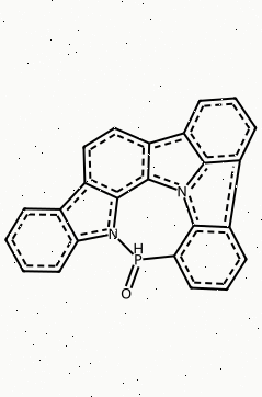 O=[PH]1c2cccc3c4cccc5c6ccc7c8ccccc8n1c7c6n(c23)c45